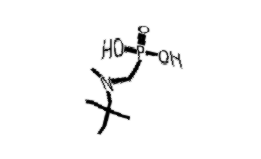 CN(CP(=O)(O)O)C(C)(C)C